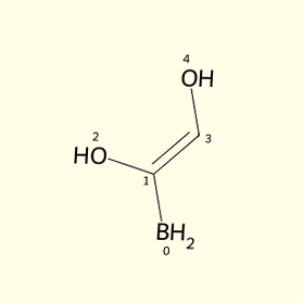 BC(O)=CO